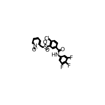 O=C(Nc1cc(F)c(F)c(F)c1)c1ccc(Cl)c(S(=O)(=O)Cc2cccc[n+]2[O-])c1